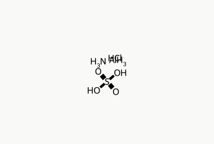 Cl.N.O=S(=O)(O)O.[AlH3]